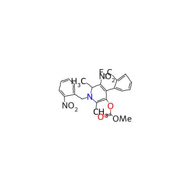 COC(=O)OC1=C(C)N(Cc2ccccc2[N+](=O)[O-])C(C)C([N+](=O)[O-])=C1c1ccccc1C(F)(F)F